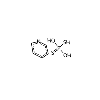 OP(O)(=S)S.c1ccncc1